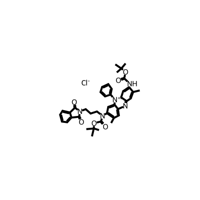 Cc1cc2nc3cc(C)c(N(CCCN4C(=O)c5ccccc5C4=O)C(=O)OC(C)(C)C)cc3[n+](-c3ccccc3)c2cc1NC(=O)OC(C)(C)C.[Cl-]